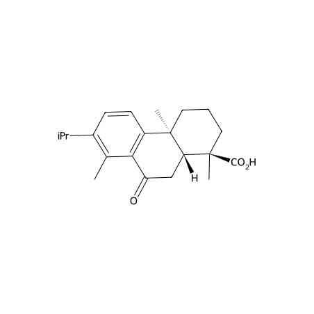 Cc1c(C(C)C)ccc2c1C(=O)C[C@H]1[C@](C)(C(=O)O)CCC[C@]21C